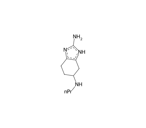 CCCNC1CCc2nc(N)[nH]c2C1